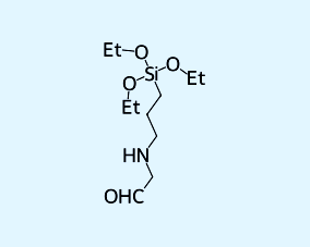 CCO[Si](CCCNCC=O)(OCC)OCC